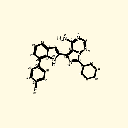 Nc1ncnn2c(C3CCCCC3)nc(-c3cc4cccc(-c5ccc(F)cc5)c4[nH]3)c12